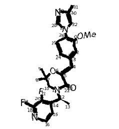 COc1cc(C=C2OC(C)(C)CN([C@@H](C)c3ccnc(F)c3F)C2=O)ccc1-n1cnc(C)c1